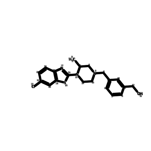 CC1CN(Cc2cccc(CO)c2)CCN1c1nc2ccc(Cl)cc2s1